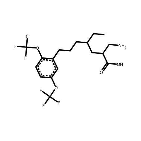 CCC(CCCc1cc(OC(F)(F)F)ccc1OC(F)(F)F)CC(CN)C(=O)O